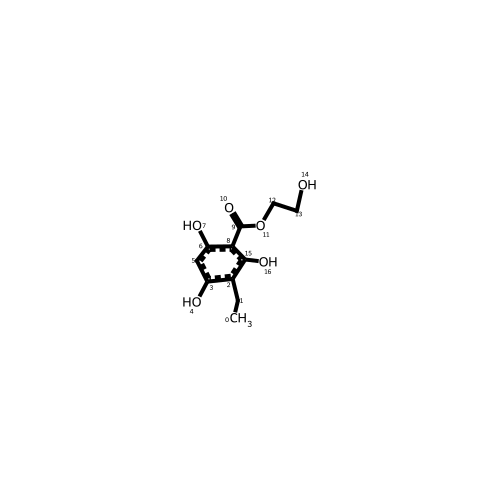 CCc1c(O)cc(O)c(C(=O)OCCO)c1O